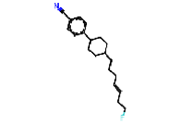 N#Cc1ccc(C2CCC(CCCC=CCCF)CC2)cc1